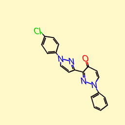 O=c1ccn(-c2ccccc2)nc1-c1ccn(-c2ccc(Cl)cc2)n1